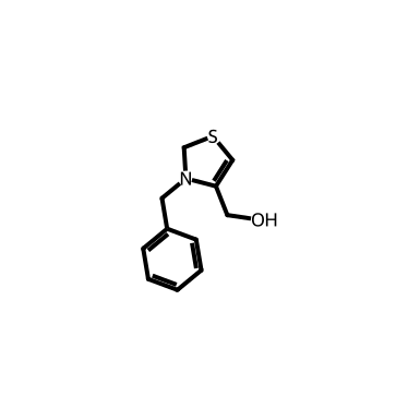 OCC1=CSCN1Cc1ccccc1